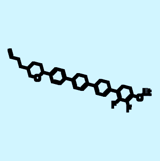 C=CCCC1CCC(c2ccc(C3=CC=C(C4=CC=C(C5=C(F)C(F)=C(OCC)CC5)CC4)CC3)cc2)OC1